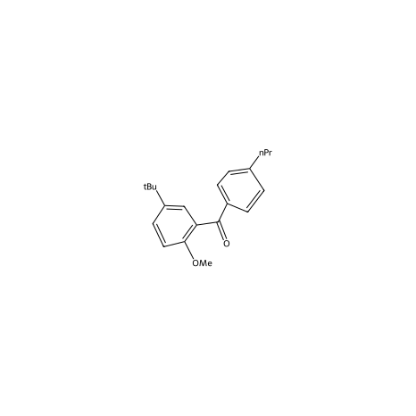 CCCc1ccc(C(=O)c2cc(C(C)(C)C)ccc2OC)cc1